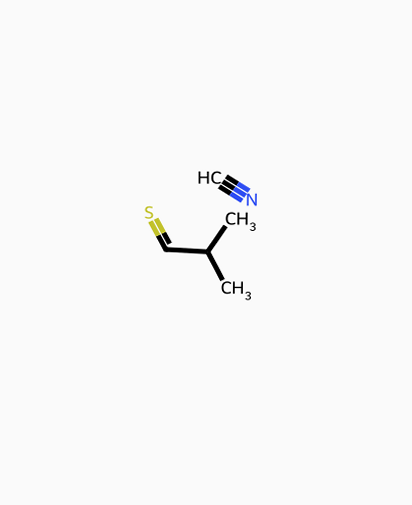 C#N.CC(C)C=S